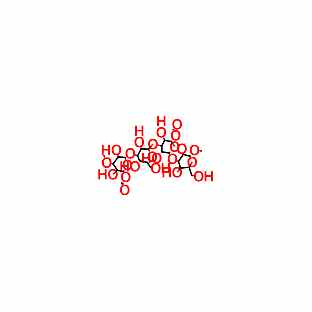 COC1OC(CO)C(O)C(OC2OC(OC=O)C(O)C(OC3OC(CO)C(O)C(OC4OC(OC=O)C(O)C(OC)C4O)C3O)C2O)C1OC